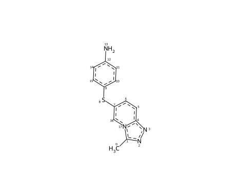 Cc1nnc2ccc(Sc3ccc(N)cc3)cn12